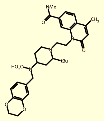 CNC(=O)c1ccc2c(C)cc(=O)n(CCN3CCC(N(Cc4ccc5c(c4)OCCO5)C(=O)O)CC3C(C)(C)C)c2c1